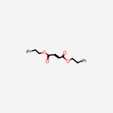 CC(C)CCOC(=O)/C=C/C(=O)OCCC(C)C